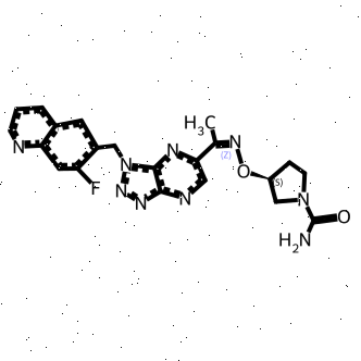 C/C(=N/O[C@H]1CCN(C(N)=O)C1)c1cnc2nnn(Cc3cc4cccnc4cc3F)c2n1